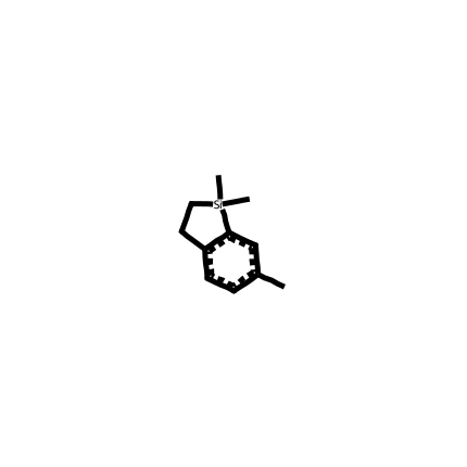 Cc1ccc2c(c1)[Si](C)(C)CC2